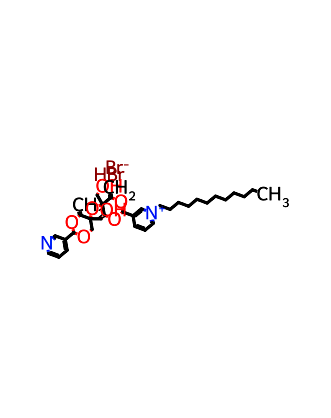 Br.C=C1OC(c2cccnc2)OCC1(CO)OC1(CO)COC(c2ccc[n+](CCCCCCCCCCCC)c2)OC1=C.[Br-]